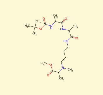 COC(=O)C(C)N(C)CCCCNC(=O)C(C)NC(=O)C(C)NC(=O)OC(C)(C)C